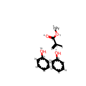 C=C(C)C(=O)OCCC.Oc1ccccc1.Oc1ccccc1